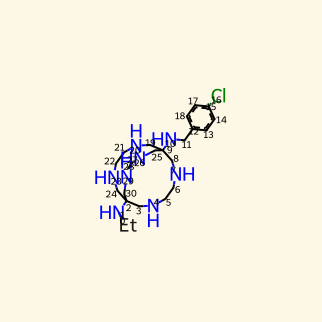 CCNC12CNCCNCC(NCc3ccc(Cl)cc3)(CNCCNC1)CNCCNC2